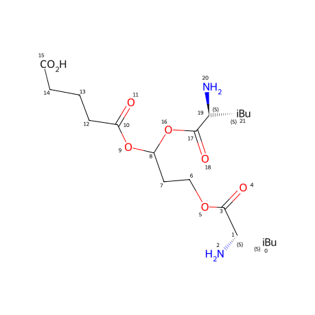 CC[C@H](C)[C@H](N)C(=O)OCCC(OC(=O)CCCC(=O)O)OC(=O)[C@@H](N)[C@@H](C)CC